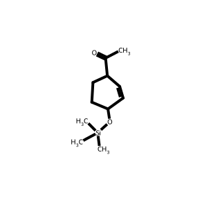 CC(=O)C1C=CC(O[Si](C)(C)C)CC1